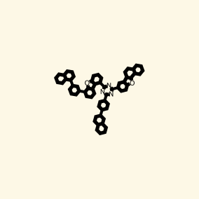 c1cc(-c2cccc3ccccc23)cc(-c2cccc3c2oc2cccc(-c4nc(-c5ccc(-c6ccc7ccccc7c6)cc5)nc(-c5ccc6oc7c8ccccc8ccc7c6c5)n4)c23)c1